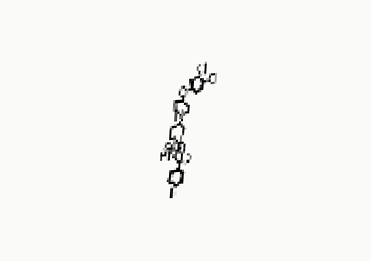 O=C(NS(=O)(=O)N1CCC(N2CCC(Oc3ccc(Cl)c(Cl)c3)CC2)CC1)c1ccc(F)cc1